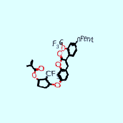 C=C(C)C(=O)OC1CCC(Oc2ccc3cc(-c4ccc(CCCCC)cc4OC(F)(F)F)c(=O)oc3c2)C1C(F)(F)F